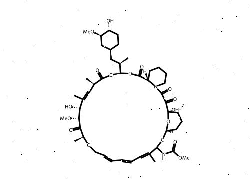 COC(=O)NC1C[C@@H]2CC[C@@H](C)[C@@](O)(O2)C(=O)C(=O)N2CCCC[C@H]2C(=O)O[C@H]([C@H](C)C[C@@H]2CC[C@@H](O)[C@H](OC)C2)CC(=O)[C@H](C)/C=C(\C)[C@@H](O)[C@@H](OC)C(=O)[C@H](C)CC/C=C/C=C/C=C/1C